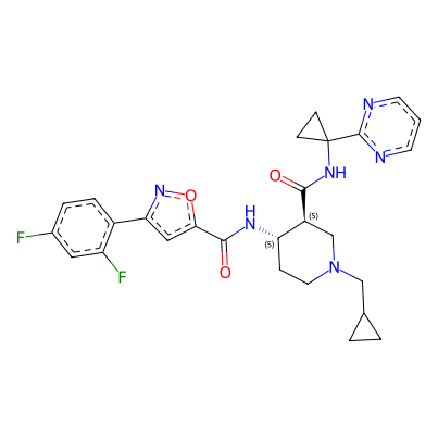 O=C(N[C@H]1CCN(CC2CC2)C[C@@H]1C(=O)NC1(c2ncccn2)CC1)c1cc(-c2ccc(F)cc2F)no1